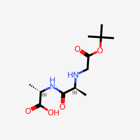 C[C@H](NC(=O)[C@H](C)NCC(=O)OC(C)(C)C)C(=O)O